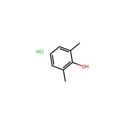 Cc1cccc(C)c1O.Cl